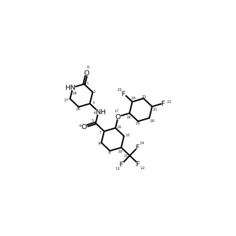 O=C1CC(NC(=O)C2CCC(C(F)(F)F)CC2OC2CCC(F)CC2F)CCN1